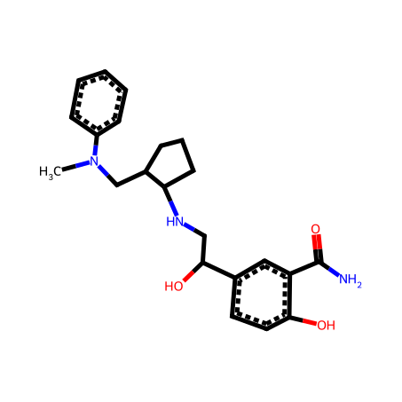 CN(CC1CCCC1NCC(O)c1ccc(O)c(C(N)=O)c1)c1ccccc1